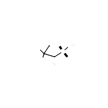 CC(C)(O)CS(=O)(=O)O.[NaH]